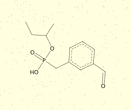 CCC(C)OP(=O)(O)Cc1cccc(C=O)c1